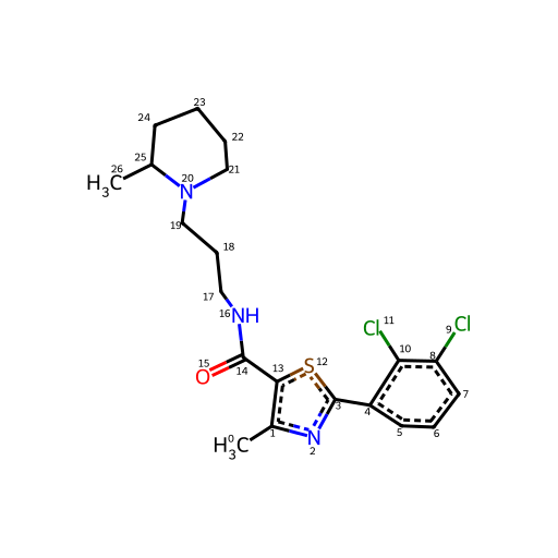 Cc1nc(-c2cccc(Cl)c2Cl)sc1C(=O)NCCCN1CCCCC1C